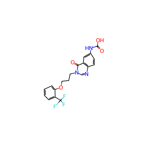 O=C(O)Nc1ccc2ncn(CCCOc3ccccc3C(F)(F)F)c(=O)c2c1